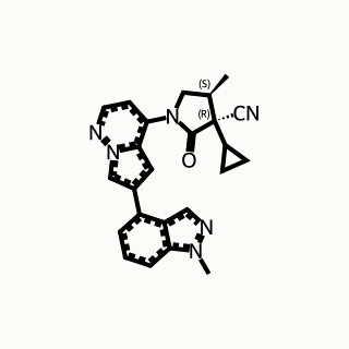 C[C@@H]1CN(c2ccnn3cc(-c4cccc5c4cnn5C)cc23)C(=O)[C@]1(C#N)C1CC1